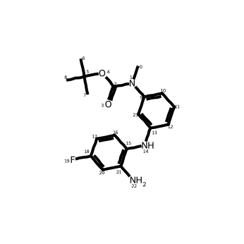 CN(C(=O)OC(C)(C)C)c1cccc(Nc2ccc(F)cc2N)c1